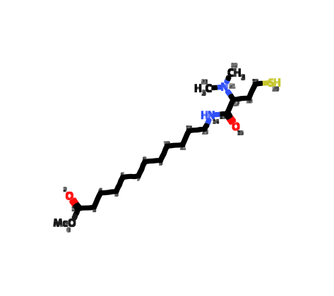 COC(=O)CCCCCCCCCCCNC(=O)C(CCS)N(C)C